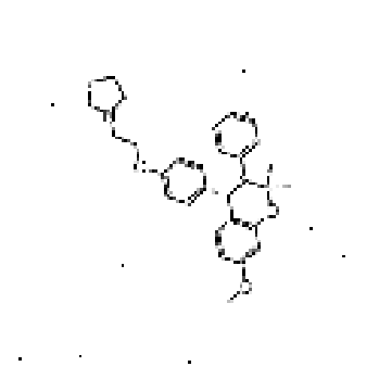 COc1ccc2c(c1)OC(C)(C)[C@H](c1ccccc1)[C@H]2c1ccc(OCCN2CCCC2)cc1